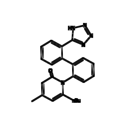 CCCCc1cc(C)cc(=O)n1-c1ccccc1-c1ccccc1-c1nnn[nH]1